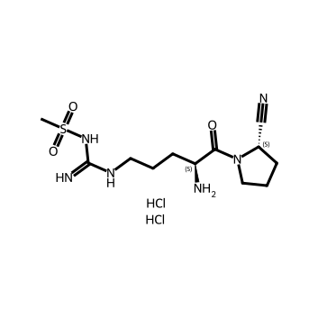 CS(=O)(=O)NC(=N)NCCC[C@H](N)C(=O)N1CCC[C@H]1C#N.Cl.Cl